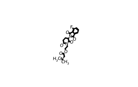 CN(C)CC(=O)OCCN1C(=O)CCC(N2C(=O)c3cccc(F)c3C2=O)C1=O